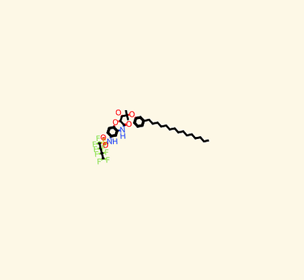 CCCCCCCCCCCCCCCc1cccc(OC(C)(C)C(=O)C2Oc3ccc(NS(=O)(=O)C(F)(F)C(F)(F)C(F)(F)C(F)F)cc3NC2=O)c1